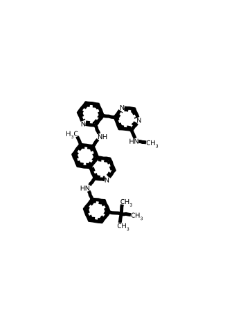 CNc1cc(-c2cccnc2Nc2c(C)ccc3c(Nc4cccc(C(C)(C)C)c4)nccc23)ncn1